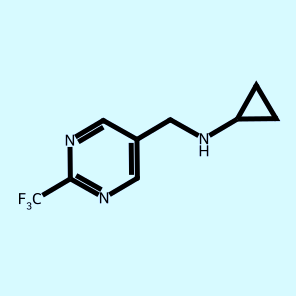 FC(F)(F)c1ncc(CNC2CC2)cn1